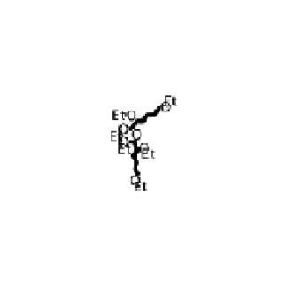 CCOCCCC=C(OCC)C(OCC)OC(OCC)C(=CCCCOCC)OCC